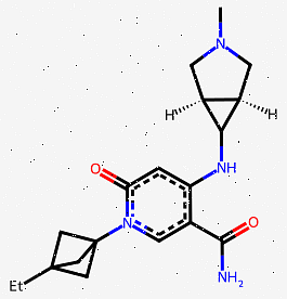 CCC12CC(n3cc(C(N)=O)c(NC4[C@H]5CN(C)C[C@@H]45)cc3=O)(C1)C2